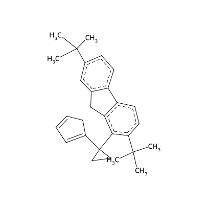 CC(C)(C)c1ccc2c(c1)Cc1c-2ccc(C(C)(C)C)c1C1(C2=CC=CC2)CC1